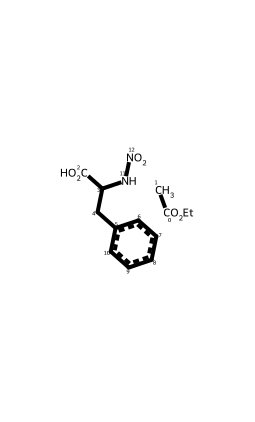 CCOC(C)=O.O=C(O)C(Cc1ccccc1)N[N+](=O)[O-]